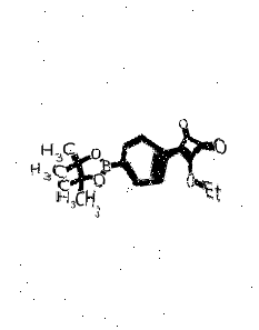 CCOc1c(-c2ccc(B3OC(C)(C)C(C)(C)O3)cc2)c(=O)c1=O